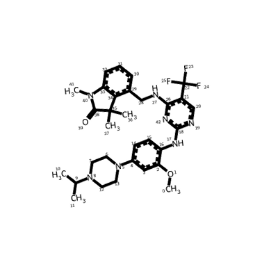 COc1cc(N2CCN(C(C)C)CC2)ccc1Nc1ncc(C(F)(F)F)c(NCc2cccc3c2C(C)(C)C(=O)N3C)n1